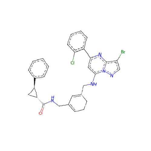 O=C(NCC1=CCCC(CNc2cc(-c3ccccc3Cl)nc3c(Br)cnn23)=C1)[C@@H]1C[C@H]1c1ccccc1